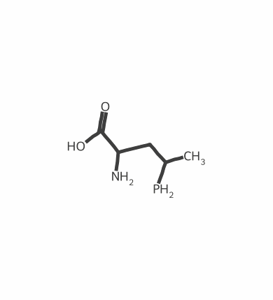 CC(P)CC(N)C(=O)O